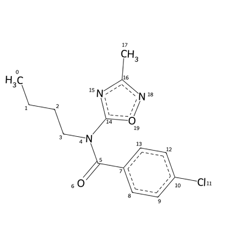 CCCCN(C(=O)c1ccc(Cl)cc1)c1nc(C)no1